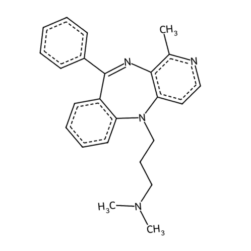 Cc1nccc2c1N=C(c1ccccc1)c1ccccc1N2CCCN(C)C